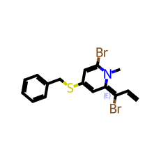 C=C/C(Br)=C1/C=C(SCc2ccccc2)C=C(Br)N1C